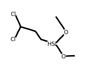 CO[SiH](CCC(Cl)Cl)OC